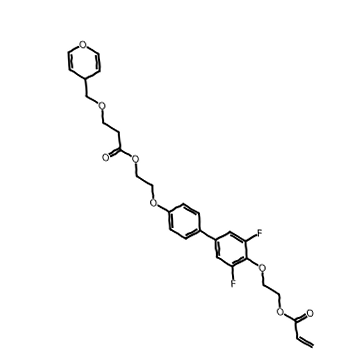 C=CC(=O)OCCOc1c(F)cc(-c2ccc(OCCOC(=O)CCOCC3C=COC=C3)cc2)cc1F